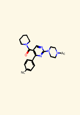 CC(=O)N1CCN(c2ncc(C(=O)N3CCCCC3)c(-c3ccc(C#N)cc3)n2)CC1